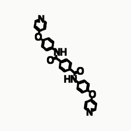 O=C(Nc1ccc(Oc2ccncc2)cc1)c1ccc(C(=O)Nc2ccc(Oc3ccncc3)cc2)cc1